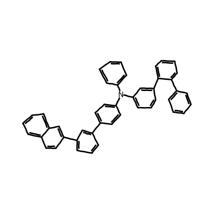 c1ccc(-c2ccccc2-c2cccc(N(c3ccccc3)c3ccc(-c4cccc(-c5ccc6ccccc6c5)c4)cc3)c2)cc1